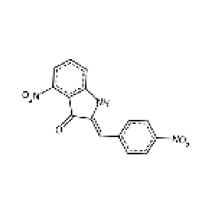 O=C1C(=Cc2ccc([N+](=O)[O-])cc2)Nc2cccc([N+](=O)[O-])c21